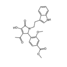 COC(=O)c1ccc(C2C(C(C)=O)=C(O)C(=O)N2CCc2c[nH]c3ccccc23)c(OC)c1